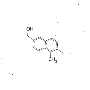 Cc1c(I)ccc2cc(CO)ccc12